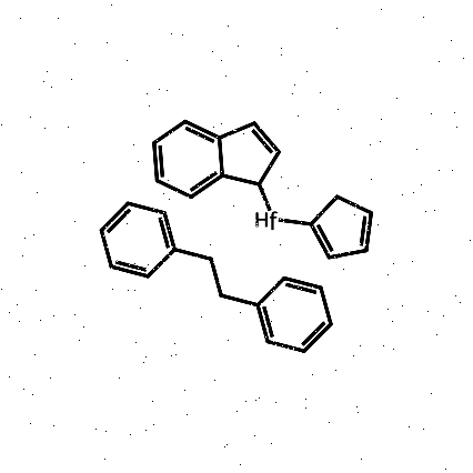 C1=CC[C]([Hf][CH]2C=Cc3ccccc32)=C1.c1ccc(CCc2ccccc2)cc1